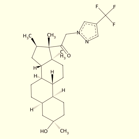 C[C@@H]1C[C@H]2[C@@H]3CC[C@@H]4C[C@](C)(O)CC[C@@H]4[C@H]3CC[C@]2(C)[C@@]1(C)C(=O)Cn1cc(C(F)(F)F)cn1